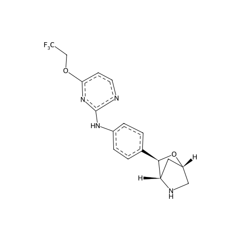 FC(F)(F)COc1ccnc(Nc2ccc([C@H]3O[C@@H]4CN[C@H]3C4)cc2)n1